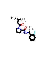 CC(C)CC(=O)N1CCCC1C(=O)N[C@@H](C)c1ccccc1F